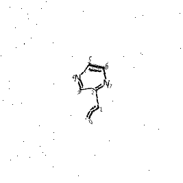 [CH]=Cc1[c]nccn1